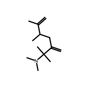 C=C(C)C(C)CC(=C)C(C)(C)N(C)C